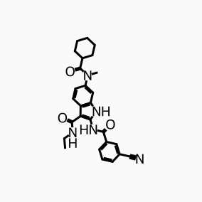 CCNC(=O)c1c(NC(=O)c2cccc(C#N)c2)[nH]c2cc(N(C)C(=O)C3CCCCC3)ccc12